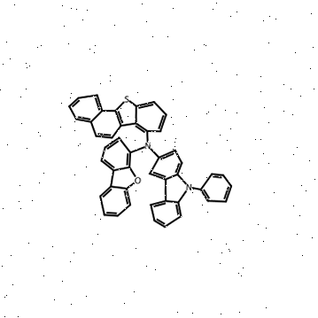 c1ccc(-n2c3ccccc3c3cc(N(c4cccc5c4oc4ccccc45)c4cccc5sc6c7ccccc7ccc6c45)ccc32)cc1